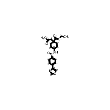 CCOC(=O)C1(CC(C)=O)CCC(N[S+]([O-])c2ccc(-c3cocn3)cc2)CC1